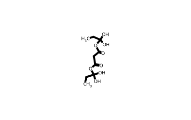 CCC(O)(O)OC(=O)CC(=O)OC(O)(O)CC